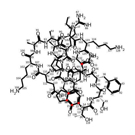 CC[C@H](C)[C@H](NC(=O)[C@H](C)NC(=O)CNC(=O)[C@H](Cc1ccc(O)cc1)NC(=O)[C@H](CC(N)=O)NC(=O)[C@H](Cc1ccccc1)NC(=O)[C@H](CO)NC(=O)[C@@H](NC(=O)[C@@H]1CCCN1C(=O)[C@H](CC(C)C)NC(=O)[C@@H]1CCCN1C(=O)[C@H](CCCNC(=N)N)NC(=O)[C@H](C)NC(=O)[C@H](C)NC(=O)[C@H](CCCCN)NC(=O)[C@@H](N)CCC(N)=O)[C@@H](C)O)C(=O)N[C@@H](CCCCN)C(=O)N[C@@H](C)C(=O)O